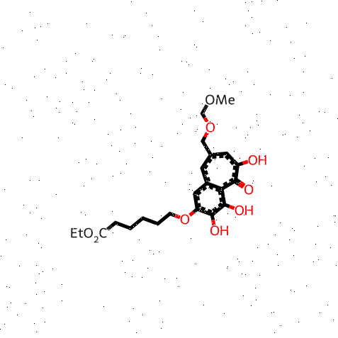 CCOC(=O)CCCCCOc1cc2cc(COCOC)cc(O)c(=O)c2c(O)c1O